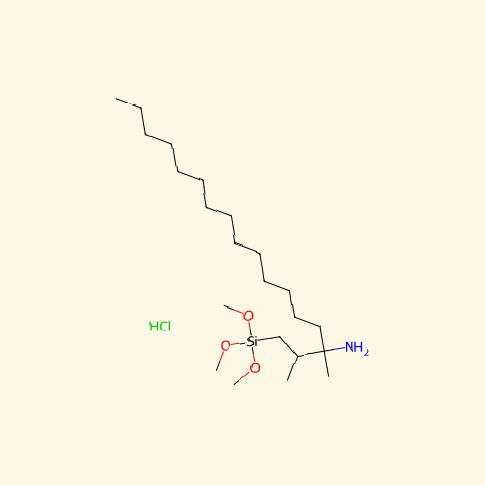 CCCCCCCCCCCCCCC(C)(N)C(C)C[Si](OC)(OC)OC.Cl